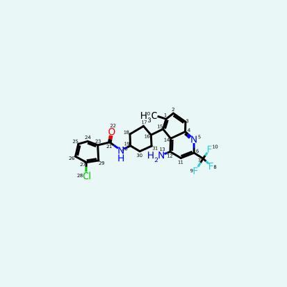 Cc1ccc2nc(C(F)(F)F)cc(N)c2c1C1CCC(NC(=O)c2cccc(Cl)c2)CC1